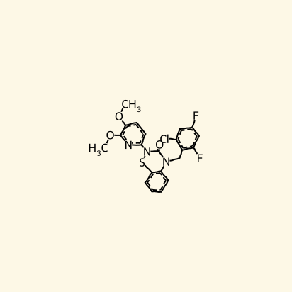 COc1ccc(N2Sc3ccccc3N(Cc3c(F)cc(F)cc3Cl)C2=O)nc1OC